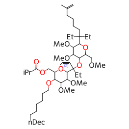 C=C(C)CCCCC(CC)(CC)C1OC(COC)C(OC(/C=C\C)(CC)C2OC(COC(=O)C(C)C)C(OCCCCCCCCCCCCCCCC)C(OC)C2OC)C(OC)C1OC